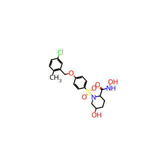 Cc1ccc(Cl)cc1COc1ccc(S(=O)(=O)N2CC(O)CCC2C(=O)NO)cc1